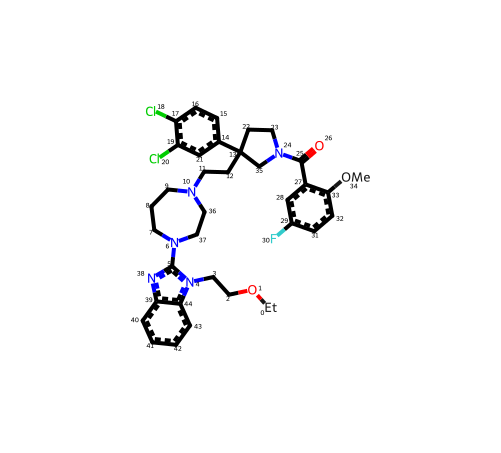 CCOCCn1c(N2CCCN(CCC3(c4ccc(Cl)c(Cl)c4)CCN(C(=O)c4cc(F)ccc4OC)C3)CC2)nc2ccccc21